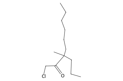 CCCCCCC(C)(CCC)C(=O)CCl